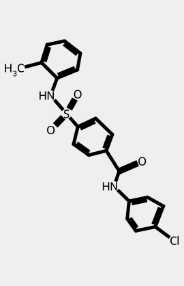 Cc1ccccc1NS(=O)(=O)c1ccc(C(=O)Nc2ccc(Cl)cc2)cc1